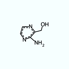 Nc1nccnc1CO